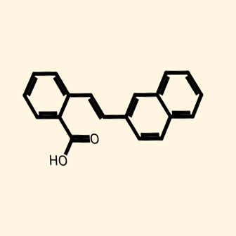 O=C(O)c1ccccc1C=Cc1ccc2ccccc2c1